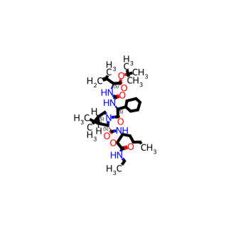 C=C(C)[C@H](NC(=O)N[C@H](C(=O)N1C[C@H]2[C@@H]([C@H]1C(=O)NC(CCCC)C(=O)C(=O)NCC)C2(C)C)C1CCCCC1)C(=O)OC(C)(C)C